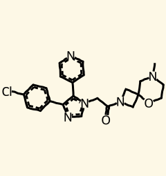 CN1CCOC2(C1)CN(C(=O)Cn1cnc(-c3ccc(Cl)cc3)c1-c1ccncc1)C2